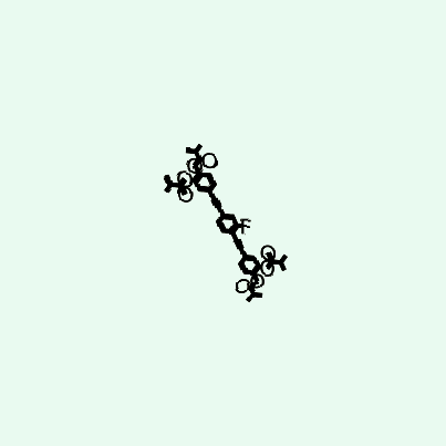 C=C(C)C(=O)Oc1ccc(C#Cc2ccc(C#Cc3ccc(OC(=O)C(=C)C)c(OC(=O)C(C)C)c3)c(F)c2)cc1OC(=O)C(=C)C